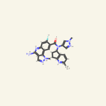 Cn1cc(N(C(=O)c2cc3c(cc2F)nc(N)c2cnn(C)c23)C2CCc3nc(C(F)(F)F)ccc32)cn1